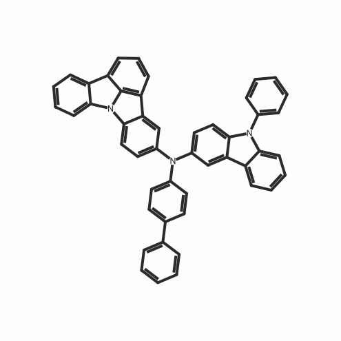 c1ccc(-c2ccc(N(c3ccc4c(c3)c3ccccc3n4-c3ccccc3)c3ccc4c(c3)c3cccc5c6ccccc6n4c53)cc2)cc1